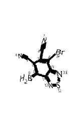 Bc1c(C#N)c(C#N)c(Br)c2nsnc12